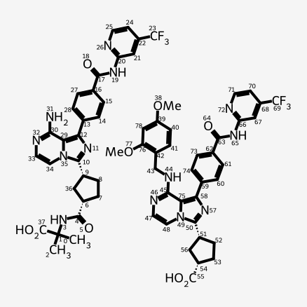 CC(C)(NC(=O)[C@H]1CC[C@@H](c2nc(-c3ccc(C(=O)Nc4cc(C(F)(F)F)ccn4)cc3)c3c(N)nccn23)C1)C(=O)O.COc1ccc(CNc2nccn3c([C@@H]4CC[C@H](C(=O)O)C4)nc(-c4ccc(C(=O)Nc5cc(C(F)(F)F)ccn5)cc4)c23)c(OC)c1